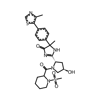 Cc1ncsc1-c1ccc(C2(C)NC([C@@H]3C[C@@H](O)CN3C(=O)C3CCCCN3S(C)(=O)=O)=NC2=O)cc1